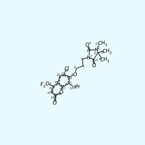 CCCc1c(OCCCN2C(=O)N(C)C(C)(C)C2=O)c(Cl)cc2c(C(F)(F)F)cc(=O)oc12